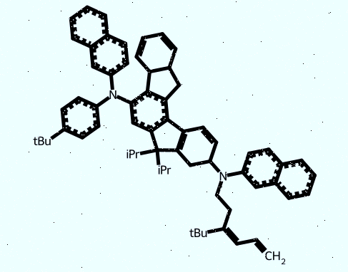 C=C/C=C(\CCN(c1ccc2ccccc2c1)C1C=CC2=C(C1)C(C(C)C)(C(C)C)c1cc(N(c3ccc(C(C)(C)C)cc3)c3ccc4ccccc4c3)c3c(c12)CC1C=CC=CC31)C(C)(C)C